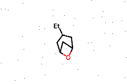 CCC1CC2CC(C1)O2